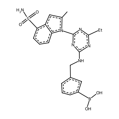 CCc1nc(NCc2cccc(B(O)O)c2)nc(-n2c(C)cc3c(S(N)(=O)=O)cccc32)n1